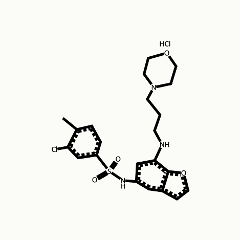 Cc1ccc(S(=O)(=O)Nc2cc(NCCCN3CCOCC3)c3occc3c2)cc1Cl.Cl